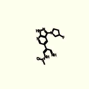 C[S+]([O-])N/C=C(\C=N)c1cnc2[nH]nc(N3CCC(F)C3)c2c1